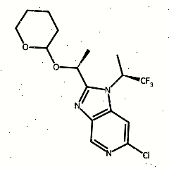 C[C@H](OC1CCCCO1)c1nc2cnc(Cl)cc2n1[C@@H](C)C(F)(F)F